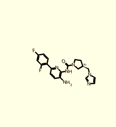 Nc1ccc(-c2ccc(F)cc2F)nc1NC(=O)N1CC[C@@H](Cn2ccnc2)C1